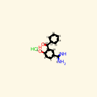 Cl.N=C(N)c1ccc(O)c(C(=O)c2ccccc2)c1